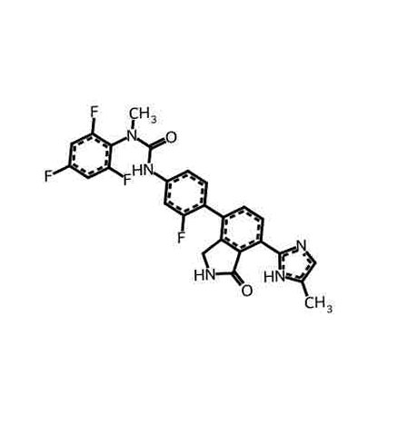 Cc1cnc(-c2ccc(-c3ccc(NC(=O)N(C)c4c(F)cc(F)cc4F)cc3F)c3c2C(=O)NC3)[nH]1